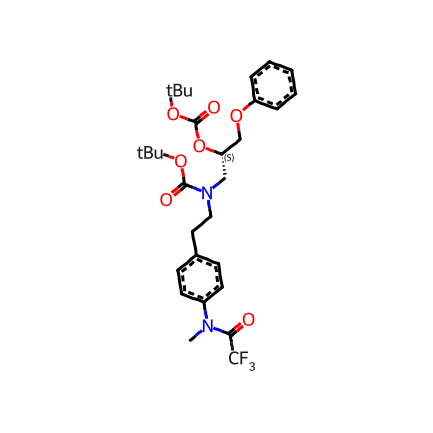 CN(C(=O)C(F)(F)F)c1ccc(CCN(C[C@@H](COc2ccccc2)OC(=O)OC(C)(C)C)C(=O)OC(C)(C)C)cc1